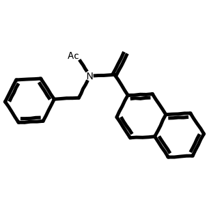 C=C(c1ccc2ccccc2c1)N(Cc1ccccc1)C(C)=O